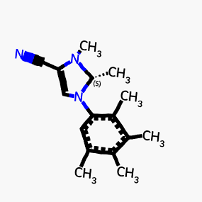 Cc1cc(N2C=C(C#N)N(C)[C@@H]2C)c(C)c(C)c1C